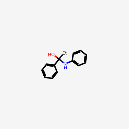 CCC(O)(Nc1ccccc1)c1ccccc1